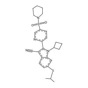 CC(C)Sc1ccc2c(C#N)c(-c3ccc(S(=O)(=O)N4CCCCC4)cn3)n(C3CCC3)c2c1